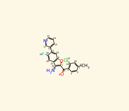 Cc1ccc(C(=O)c2oc3cc(-c4cccnc4)c(F)cc3c2N)c(Cl)c1